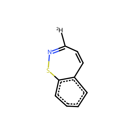 [2H]C1=NSc2ccccc2C=C1